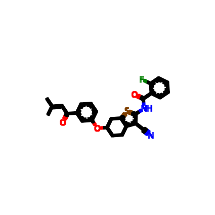 CC(C)=CC(=O)c1cccc(OC2CCc3c(sc(NC(=O)c4ccccc4F)c3C#N)C2)c1